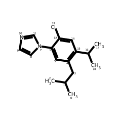 CC(C)Cc1cc(-n2ccnc2)c(Cl)cc1C(C)C